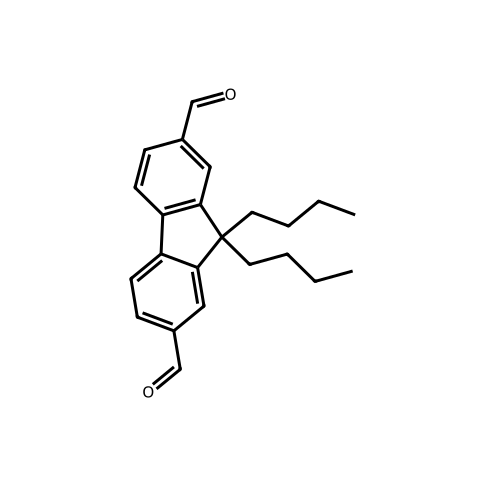 CCCCC1(CCCC)c2cc(C=O)ccc2-c2ccc(C=O)cc21